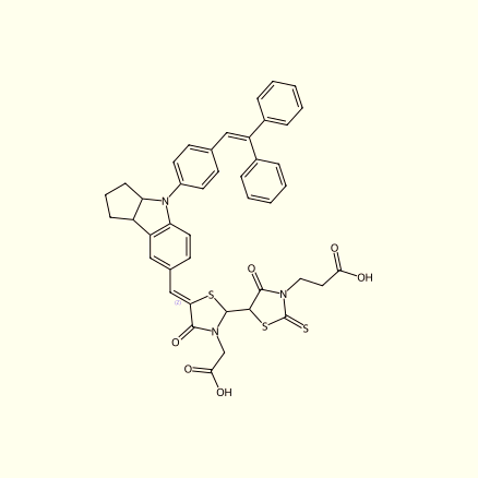 O=C(O)CCN1C(=O)C(C2S/C(=C\c3ccc4c(c3)C3CCCC3N4c3ccc(C=C(c4ccccc4)c4ccccc4)cc3)C(=O)N2CC(=O)O)SC1=S